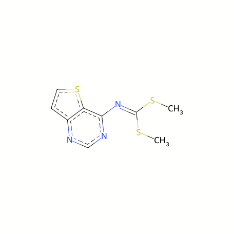 CSC(=Nc1ncnc2ccsc12)SC